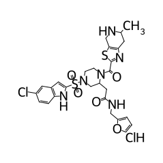 CC1Cc2nc(C(=O)N3CCN(S(=O)(=O)c4cc5cc(Cl)ccc5[nH]4)CC3CC(=O)NCc3ccco3)sc2CN1.Cl